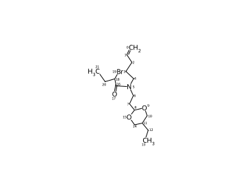 C=CCCCN(CCC1OCC(CC)CO1)C(=O)C(Br)CC